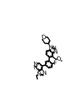 CCn1cnc2c(-c3ccc(F)c(-c4ccc5c(nnn5C5CCOCC5)c4COC)c3)cnnc21